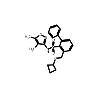 Cc1onc(NS(=O)(=O)c2c(COC3CCC3)cccc2-c2ccccc2)c1C